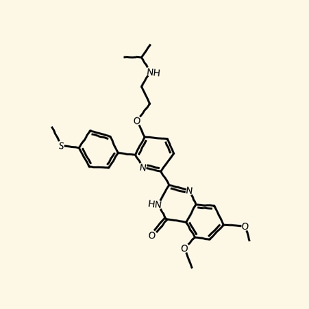 COc1cc(OC)c2c(=O)[nH]c(-c3ccc(OCCNC(C)C)c(-c4ccc(SC)cc4)n3)nc2c1